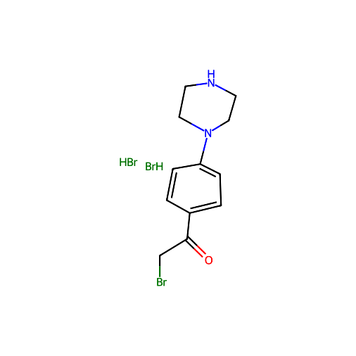 Br.Br.O=C(CBr)c1ccc(N2CCNCC2)cc1